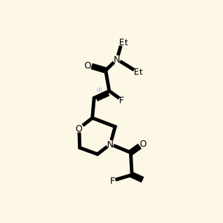 C=C(F)C(=O)N1CCOC(/C=C(\F)C(=O)N(CC)CC)C1